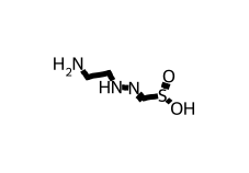 NCCNN=CS(=O)O